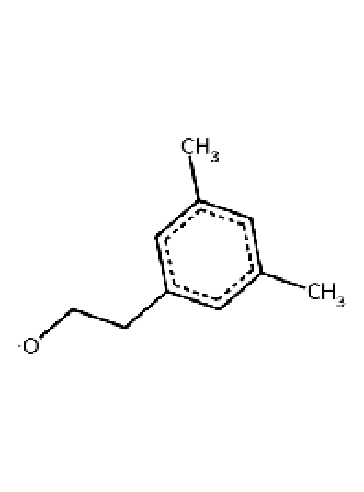 Cc1cc(C)cc(CC[O])c1